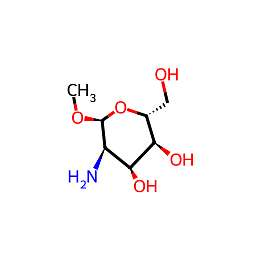 CO[C@H]1O[C@H](CO)[C@@H](O)[C@@H](O)[C@H]1N